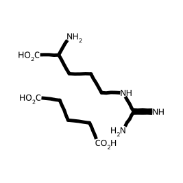 N=C(N)NCCCC(N)C(=O)O.O=C(O)CCCC(=O)O